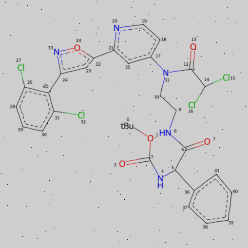 CC(C)(C)OC(=O)NC(C(=O)NCCN(C(=O)C(Cl)Cl)c1ccnc(-c2cc(-c3c(Cl)cccc3Cl)no2)c1)c1ccccc1